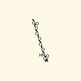 CCOC(=O)COCCOCCOCCOCCOCCNC(=O)OC(C)(C)C